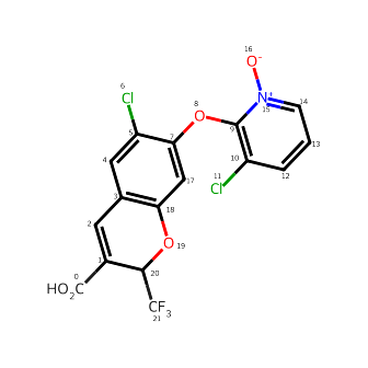 O=C(O)C1=Cc2cc(Cl)c(Oc3c(Cl)ccc[n+]3[O-])cc2OC1C(F)(F)F